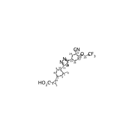 Cc1cc(C2CC2C(=O)O)ccc1-c1nnc(-c2ccc(OCC(F)(F)F)c(C#N)c2)s1